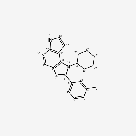 Cc1cccc(-c2cc3cnc4[nH]ccc4c3n2C2CCCCC2)c1